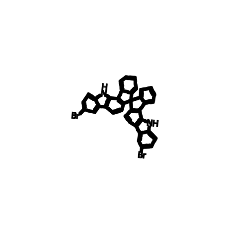 Brc1ccc2[nH]c3c4c(ccc3c2c1)C1(c2ccccc2-4)c2ccccc2-c2c1ccc1c2[nH]c2ccc(Br)cc21